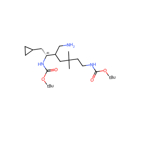 CC(C)(CCNC(=O)OC(C)(C)C)CC(CN)[C@@H](CC1CC1)NC(=O)OC(C)(C)C